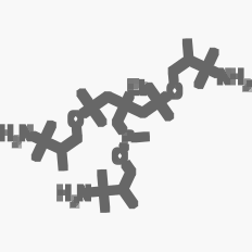 CCC(CP(C)OCC(C)C(C)(C)N)(CC(C)(C)OCC(C)C(C)(C)N)CC(C)(C)OCC(C)C(C)(C)N